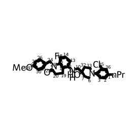 CCCc1ccc(N2CCC(O)(CNc3ccc(F)c4c3CCC(=O)N4Cc3ccc(OC)cc3)CC2)c(Cl)c1